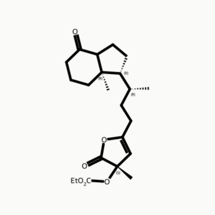 CCOC(=O)O[C@@]1(C)C=C(CC[C@@H](C)[C@H]2CCC3C(=O)CCC[C@@]32C)OC1=O